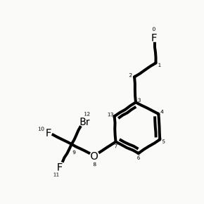 FCCc1cccc(OC(F)(F)Br)c1